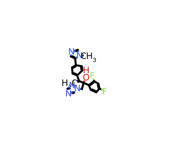 C=C(c1ccc(-c2cncn2C)cc1)C(O)(Cn1cncn1)c1ccc(F)cc1F